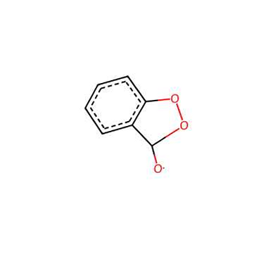 [O]C1OOc2ccccc21